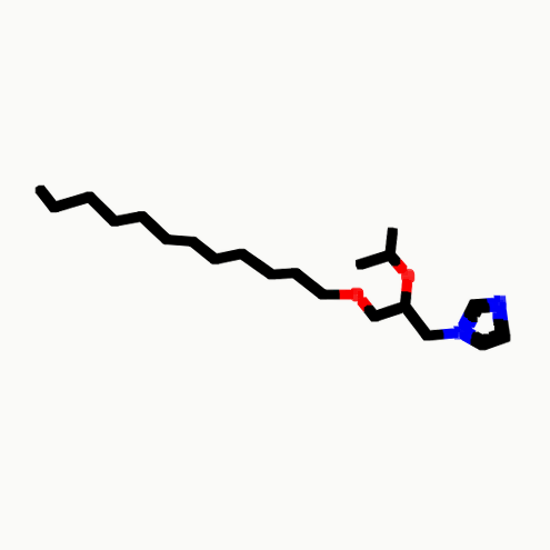 CCCCCCCCCCCCOCC(Cn1ccnc1)OC(C)C